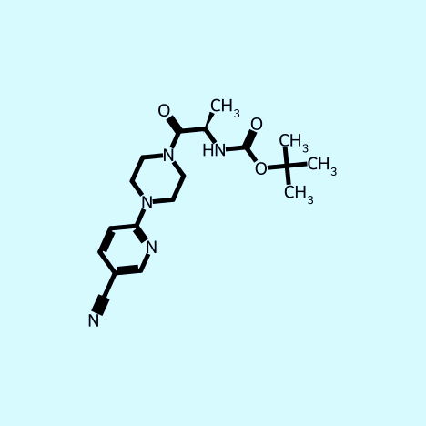 C[C@@H](NC(=O)OC(C)(C)C)C(=O)N1CCN(c2ccc(C#N)cn2)CC1